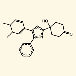 CC1C=CC(c2cc(C3(O)CCC(=O)CC3)nn2-c2ccccc2)=CC1C